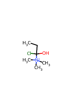 CCC(O)(Cl)[N+](C)(C)C